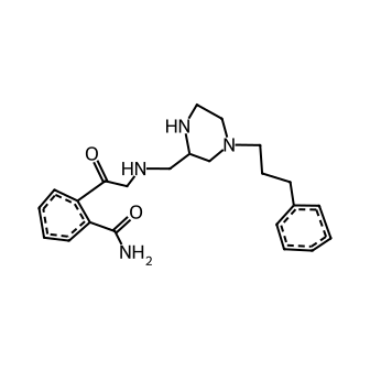 NC(=O)c1ccccc1C(=O)CNCC1CN(CCCc2ccccc2)CCN1